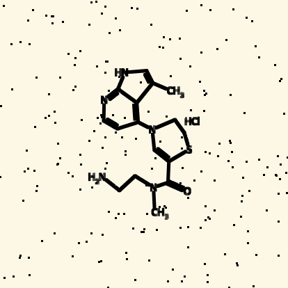 Cc1c[nH]c2nccc(N3C=C(C(=O)N(C)CCN)SCC3)c12.Cl